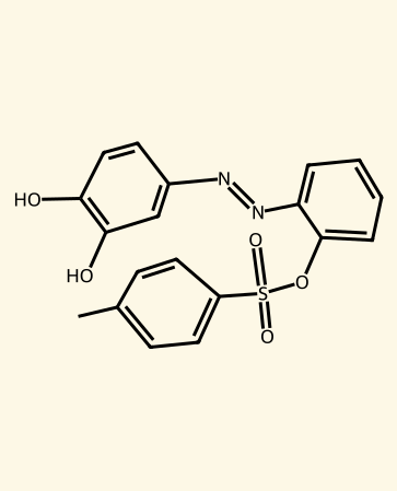 Cc1ccc(S(=O)(=O)Oc2ccccc2N=Nc2ccc(O)c(O)c2)cc1